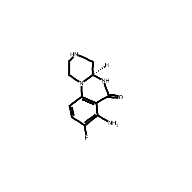 Nc1c(F)ccc2c1C(=O)N[C@@H]1CNCCN21